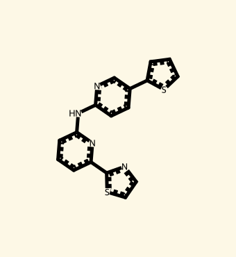 c1cc(Nc2ccc(-c3cccs3)cn2)nc(-c2nccs2)c1